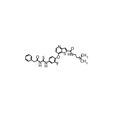 CN(C)CCNC(=O)c1cc2nccc(Oc3ccc(NC(=S)NC(=O)Cc4ccccc4)cc3F)c2s1